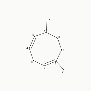 C/C1=C/C/C=C\C(C)CC1